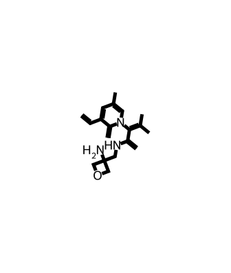 C=CC1=CC(C)=CN(C(C(=C)NCC2(N)COC2)=C(C)C)C1=C